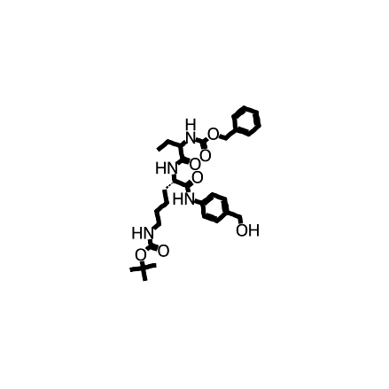 CCC(NC(=O)OCc1ccccc1)C(=O)N[C@@H](CCCCNC(=O)OC(C)(C)C)C(=O)Nc1ccc(CO)cc1